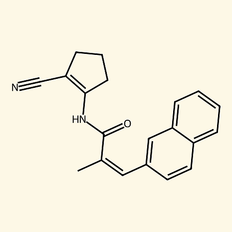 CC(=Cc1ccc2ccccc2c1)C(=O)NC1=C(C#N)CCC1